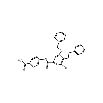 CC(=O)c1ccc(NC(=O)c2cc(Cl)c(OCc3ccccc3)c(OCc3ccccc3)c2)cc1